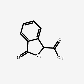 O=C1NC(C(=O)O)c2ccccc21